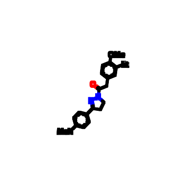 CCc1cc(CC(=O)N2CCC(c3ccc(NC)cc3)=N2)ccc1OC